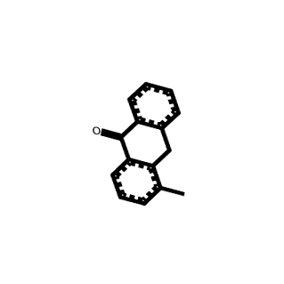 Cc1cccc2c1Cc1ccccc1C2=O